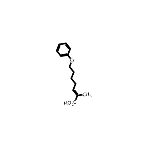 CC(=CCCCCOc1ccccc1)C(=O)O